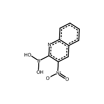 O=[N+]([O-])c1cc2ccccc2nc1B(O)O